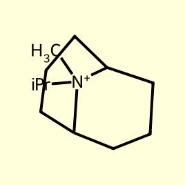 CC(C)[N+]1(C)C2CCCC1CCC2